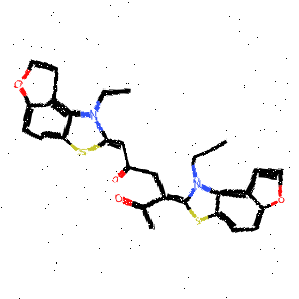 CCN1/C(=C/C(=O)C/C(C(C)=O)=C2/Sc3ccc4occc4c3N2CC)Sc2ccc3occc3c21